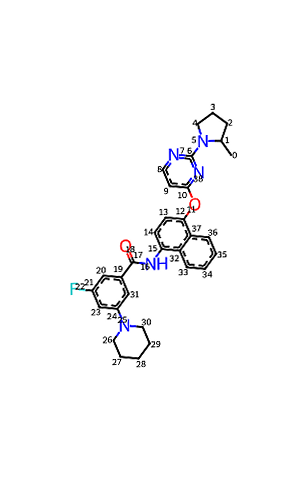 CC1CCCN1c1nccc(Oc2ccc(NC(=O)c3cc(F)cc(N4CCCCC4)c3)c3ccccc23)n1